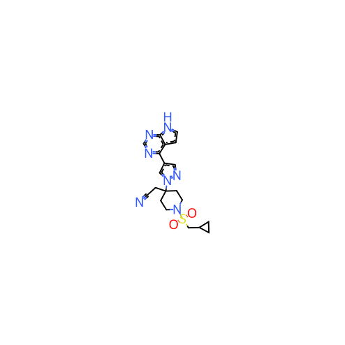 N#CCC1(n2cc(-c3ncnc4[nH]ccc34)cn2)CCN(S(=O)(=O)CC2CC2)CC1